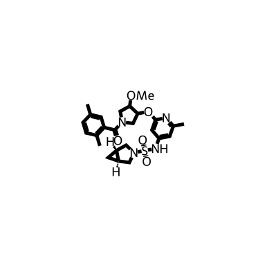 COC1CN(C(=O)c2cc(C)ccc2C)CC1Oc1cc(NS(=O)(=O)N2C[C@H]3C[C@@H]3C2)cc(C)n1